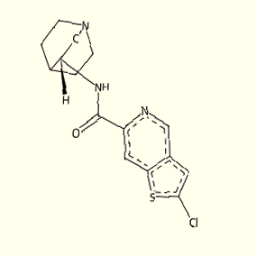 O=C(N[C@H]1CN2CCC1CC2)c1cc2sc(Cl)cc2cn1